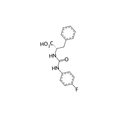 O=C(Nc1ccc(F)cc1)N[C@@H](Cc1ccccc1)C(=O)O